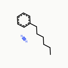 CCCCCCc1ccccc1.N#N